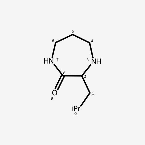 CC(C)CC1NCCCNC1=O